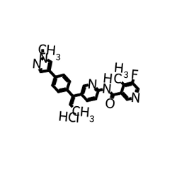 CC=C(c1ccc(-c2cnn(C)c2)cc1)c1ccc(NC(=O)c2cncc(F)c2C)nc1.Cl